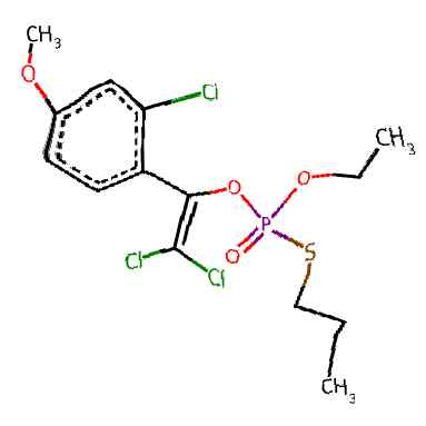 CCCSP(=O)(OCC)OC(=C(Cl)Cl)c1ccc(OC)cc1Cl